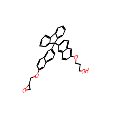 OCCCOc1ccc2cc(C3(c4ccc5cc(OCC6CO6)ccc5c4)c4ccccc4-c4ccccc43)ccc2c1